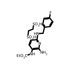 CCOC(=O)Nc1ccc(NCc2ccc(F)cc2)nc1N.O=S(=O)(O)CCS(=O)(=O)O